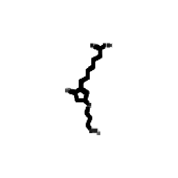 CCCCOC1C=C(CCCCCCC(=O)O)C(=O)C1